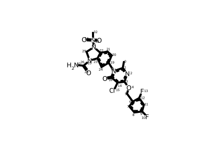 Cc1nc(OCc2ccc(F)cc2F)c(Cl)c(=O)n1-c1ccc2c(c1)N(C(N)=O)CN2S(C)(=O)=O